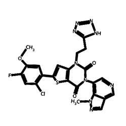 COc1cc(-c2cc3c(s2)c(=O)n(-c2cncc4cnn(C)c24)c(=O)n3CCc2nnn[nH]2)c(Cl)cc1F